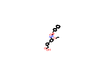 CCCOc1ccc(-c2cccc(CC(=O)O)c2)cc1CNC(=O)OCc1ccc(-c2ccccc2)cc1